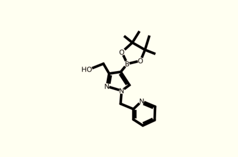 CC1(C)OB(c2cn(Cc3ccccn3)nc2CO)OC1(C)C